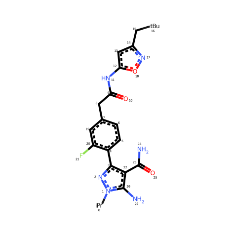 CC(C)n1nc(-c2ccc(CC(=O)Nc3cc(CC(C)(C)C)no3)cc2F)c(C(N)=O)c1N